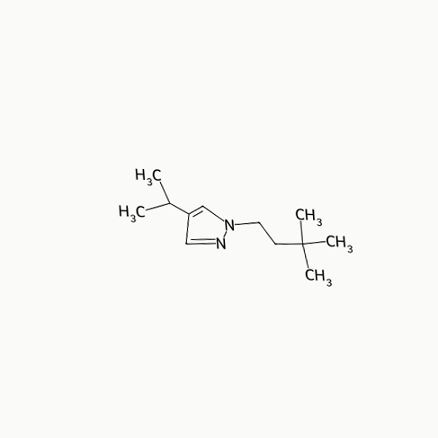 CC(C)c1cnn(CCC(C)(C)C)c1